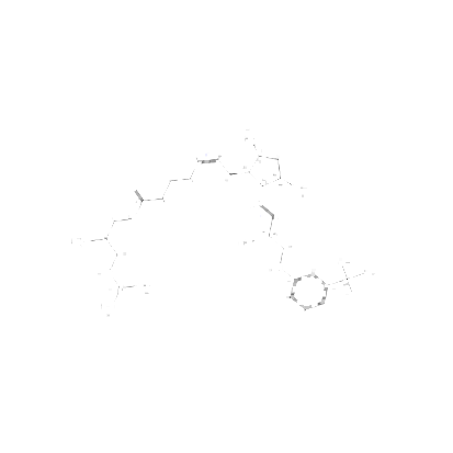 CC(COC(=O)CCC/C=C\C[C@@H]1[C@@H](/C=C/[C@@H](O)COc2cccc(C(F)(F)F)c2)[C@H](O)C[C@@H]1O)CON(O)O